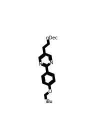 CCCCCCCCCCCCc1cnc(-c2ccc(OCC(C)CC)cc2)nc1